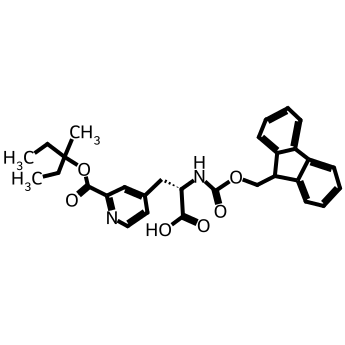 CCC(C)(CC)OC(=O)c1cc(C[C@H](NC(=O)OCC2c3ccccc3-c3ccccc32)C(=O)O)ccn1